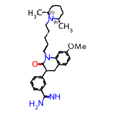 COc1ccc2c(c1)N(CCCCCN1[C@H](C)CCC[C@@H]1C)C(=O)C(c1cccc(C(=N)N)c1)C2